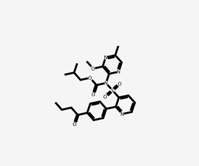 CCCC(=O)c1ccc(-c2ncccc2S(=O)(=O)N(C(=O)OCC(C)C)c2ncc(C)nc2OC)cc1